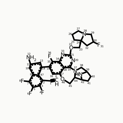 C#Cc1c(F)c(F)c(F)c2cc(N)cc(-c3cc4c5c(nc(OCC67CCCN6CC(F)C7)nc5c3F)N3CC5CCC(N5)C3CO4)c12